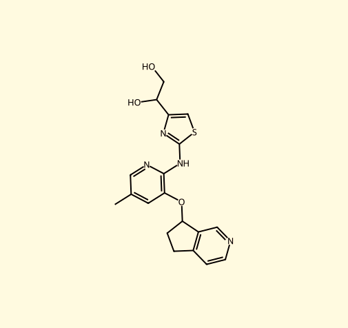 Cc1cnc(Nc2nc(C(O)CO)cs2)c(OC2CCc3ccncc32)c1